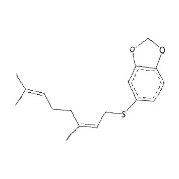 CC(C)=CCCC(C)=CCSc1ccc2c(c1)OCO2